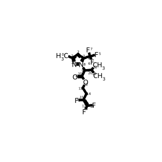 Cc1cc(C(F)(F)F)n(C(C(=O)OCCC(F)=C(F)F)C(C)C)n1